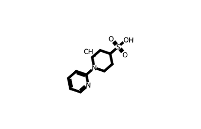 C.O=S(=O)(O)C1CCN(c2ccccn2)CC1